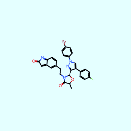 CC1O[C@H](c2nn(-c3ccc(Br)cc3)cc2-c2ccc(F)cc2)N(CCc2ccc3c(c2)=CC(=O)N=3)C1=O